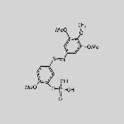 COc1ccc(/N=N/c2cc(OC)c(OC(F)(F)F)c(OC)c2)cc1OP(=O)(O)O